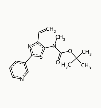 C=Cc1nc(-c2cccnc2)sc1N(C)C(=O)OC(C)(C)C